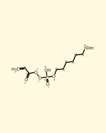 C=CC(=O)OOP(=O)(O)OCCCCCCCCCCCCCCCC